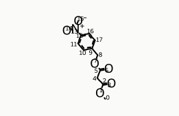 COC(=O)CC(=O)OCc1ccc([N+](=O)[O-])cc1